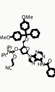 COc1ccc(C(OC[C@H]2O[C@@H](n3cnc4c(NC(=O)c5ccccc5)ncnc43)C[C@@H]2OP(OCCC#N)N(C(C)C)C(C)C)(c2ccccc2)c2ccc(OC)cc2)cc1